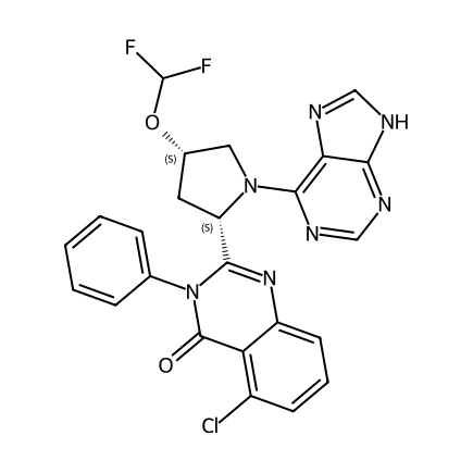 O=c1c2c(Cl)cccc2nc([C@@H]2C[C@H](OC(F)F)CN2c2ncnc3[nH]cnc23)n1-c1ccccc1